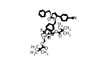 CC(C)(C)C(=O)OCOP(=O)(OCOC(=O)C(C)(C)C)C(F)(F)c1ccc(Cn2c(-c3ccc(C#N)cc3)cn(Cc3ccccc3)c2=O)cc1Br